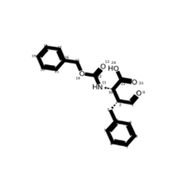 O=C[C@H](Cc1ccccc1)[C@H](NC(=O)OCc1ccccc1)C(=O)O